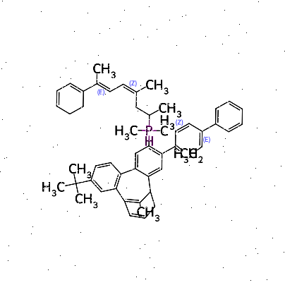 C=C(/C=C\C(=C/C)c1ccccc1)c1cc2c(cc1[PH](C)(C)C(C)C/C(C)=C\C=C(/C)C1=CC=CCC1)-c1ccc(C(C)(C)C)cc1C1=C(C)C2CC=C1